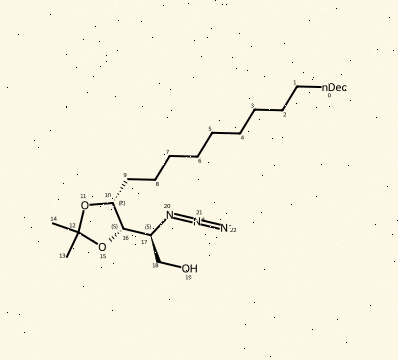 CCCCCCCCCCCCCCCCCCC[C@H]1OC(C)(C)O[C@H]1[C@H](CO)N=[N+]=[N-]